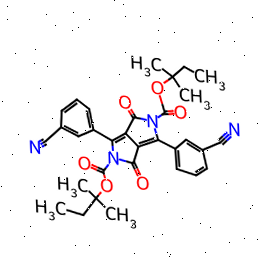 CCC(C)(C)OC(=O)N1C(=O)C2=C(c3cccc(C#N)c3)N(C(=O)OC(C)(C)CC)C(=O)C2=C1c1cccc(C#N)c1